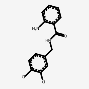 Nc1ccccc1C(=O)NCc1ccc(Cl)c(Cl)c1